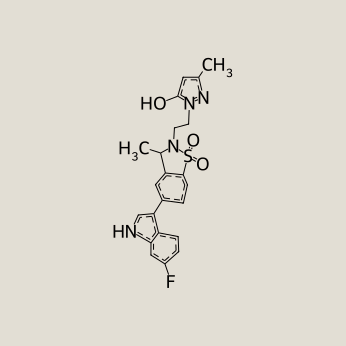 Cc1cc(O)n(CCN2C(C)c3cc(-c4c[nH]c5cc(F)ccc45)ccc3S2(=O)=O)n1